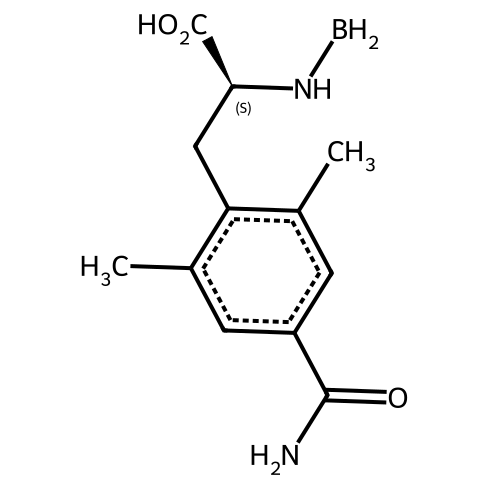 BN[C@@H](Cc1c(C)cc(C(N)=O)cc1C)C(=O)O